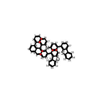 c1ccc(-c2cccc3cccc(-c4ccccc4N(c4ccc(-c5cccc6c5sc5ccccc56)cc4)c4ccccc4-c4cccc5oc6ccccc6c45)c23)cc1